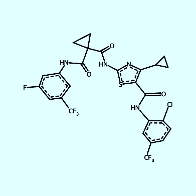 O=C(Nc1cc(C(F)(F)F)ccc1Cl)c1sc(NC(=O)C2(C(=O)Nc3cc(F)cc(C(F)(F)F)c3)CC2)nc1C1CC1